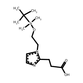 CC(C)(C)[Si](C)(C)OCCn1ccnc1CCC(=O)O